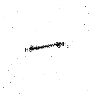 NCC(=O)OCCCCCCCCCCCCCCCCCCCC(O)O